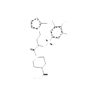 CNC(=O)C1CCN(C(=O)C(CCn2cccc2C#N)NS(=O)(=O)c2cc(Cl)c(N)c(Cl)c2)CC1